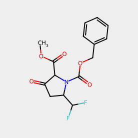 COC(=O)C1C(=O)CC(C(F)F)N1C(=O)OCc1ccccc1